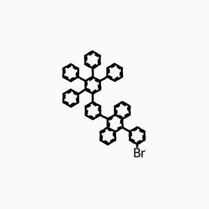 Brc1cccc(-c2c3ccccc3c(-c3cccc(-c4cc(-c5ccccc5)c(-c5ccccc5)c(-c5ccccc5)c4-c4ccccc4)c3)c3ccccc23)c1